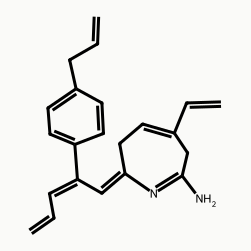 C=C/C=C(\C=C1/CC=C(C=C)CC(N)=N1)c1ccc(CC=C)cc1